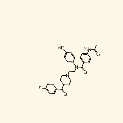 CC(=O)Nc1ccc(C(=O)N(CCN2CCC(C(=O)c3ccc(F)cc3)CC2)c2ccc(O)cc2)cc1